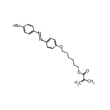 C=C(C)C(=O)OCCCCCCOc1ccc(/N=N/c2ccc(CCCC)cc2)cc1